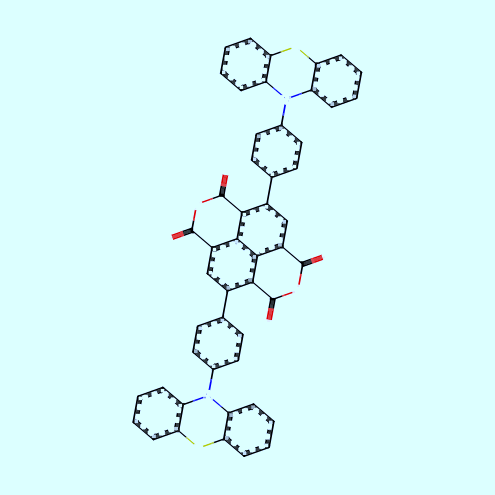 O=C1OC(=O)c2c(-c3ccc(N4c5ccccc5Sc5ccccc54)cc3)cc3c4c(c(-c5ccc(N6c7ccccc7Sc7ccccc76)cc5)cc1c24)C(=O)OC3=O